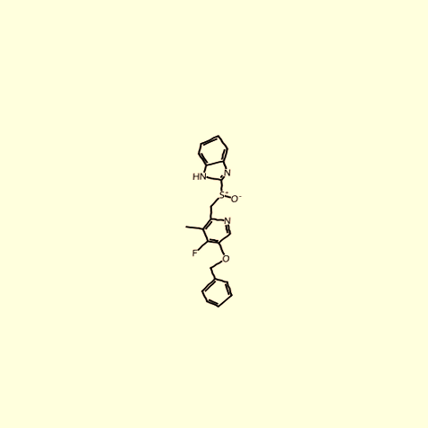 Cc1c(C[S+]([O-])c2nc3ccccc3[nH]2)ncc(OCc2ccccc2)c1F